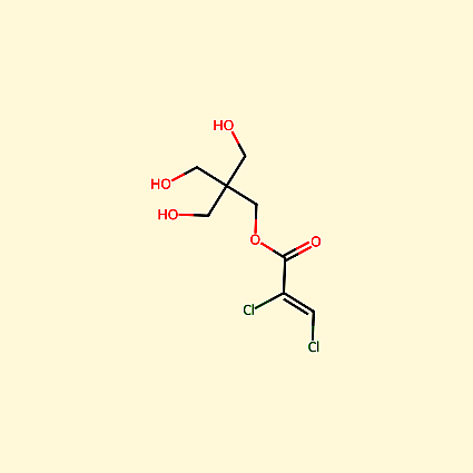 O=C(OCC(CO)(CO)CO)C(Cl)=CCl